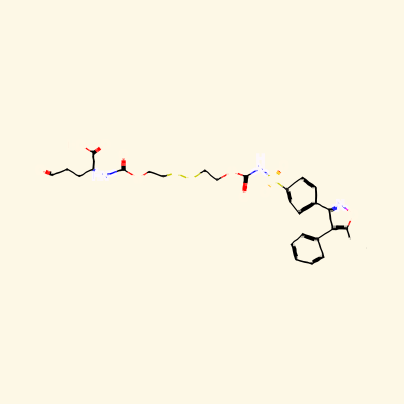 Cc1onc(-c2ccc(S(=O)(=O)NC(=O)OCCSSCCOC(=O)NC(CCC=O)C(=O)O)cc2)c1-c1ccccc1